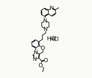 CCOC(=O)c1ncn2c1COc1c(CCCN3CCN(c4cccc5nc(C)ccc45)CC3)cccc1-2.Cl.Cl